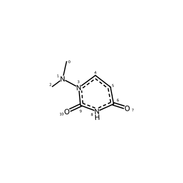 CN(C)n1ccc(=O)[nH]c1=O